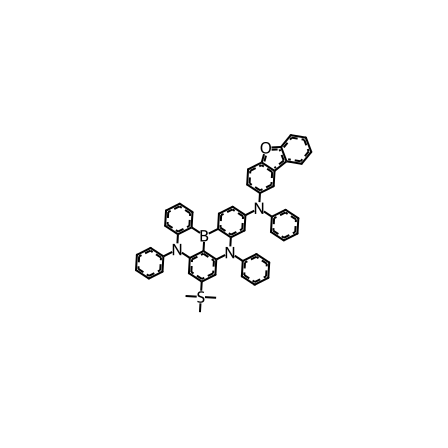 CS(C)(C)c1cc2c3c(c1)N(c1ccccc1)c1cc(N(c4ccccc4)c4ccc5oc6ccccc6c5c4)ccc1B3c1ccccc1N2c1ccccc1